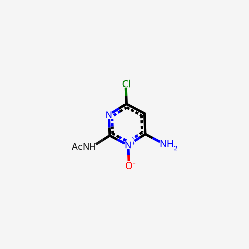 CC(=O)Nc1nc(Cl)cc(N)[n+]1[O-]